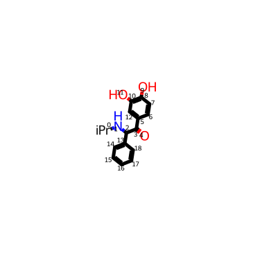 CC(C)NC(C(=O)c1ccc(O)c(O)c1)c1ccccc1